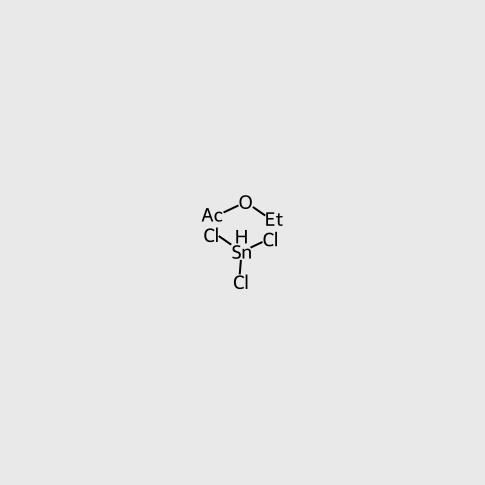 [CH2]C(=O)OCC.[Cl][SnH]([Cl])[Cl]